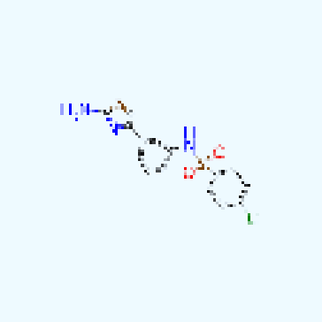 Nc1nc(-c2cccc(NS(=O)(=O)c3ccc(Cl)cc3)c2)cs1